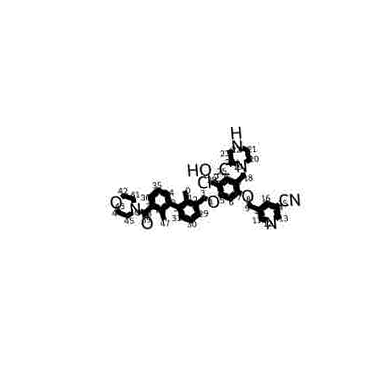 Cc1c(COc2cc(OCc3cncc(C#N)c3)c(CN3CCNCC3C(=O)O)cc2Cl)cccc1-c1cccc(C(=O)N2CCOCC2)c1C